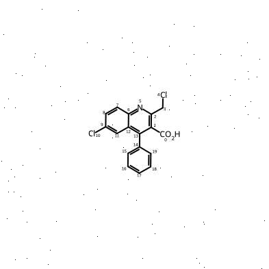 O=C(O)c1c(CCl)nc2ccc(Cl)cc2c1-c1ccccc1